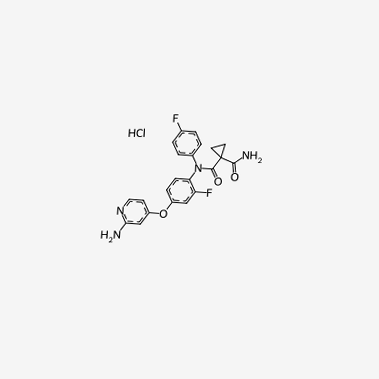 Cl.NC(=O)C1(C(=O)N(c2ccc(F)cc2)c2ccc(Oc3ccnc(N)c3)cc2F)CC1